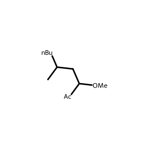 CCCCC(C)CC(OC)C(C)=O